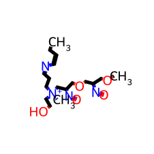 CC/C=C\N=C/CC[N+](C)(CCO)CC(COCC(COC)N=O)N=O